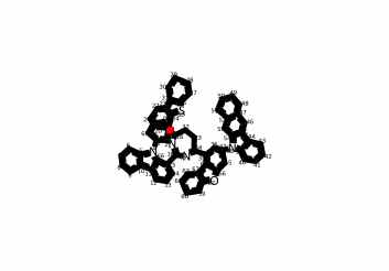 c1ccc(-n2c3ccccc3c3cccc(C4=NC(c5cccc6c5sc5ccccc56)CCC(c5cc(-n6c7ccccc7c7cc8ccccc8cc76)cc6oc7ccccc7c56)=N4)c32)cc1